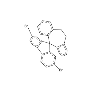 Brc1ccc2c(c1)C1(c3ccccc3CCc3ccccc31)c1cc(Br)ccc1-2